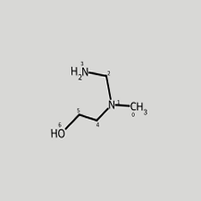 CN(CN)CCO